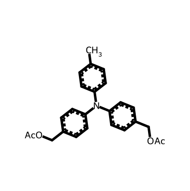 CC(=O)OCc1ccc(N(c2ccc(C)cc2)c2ccc(COC(C)=O)cc2)cc1